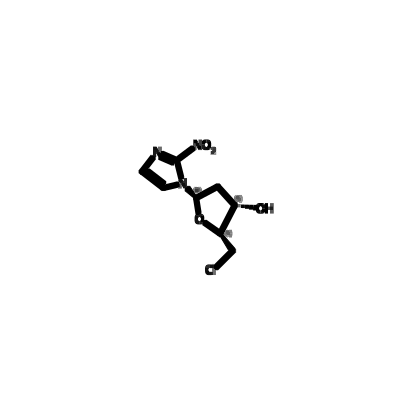 O=[N+]([O-])c1nccn1[C@H]1C[C@H](O)[C@@H](CCl)O1